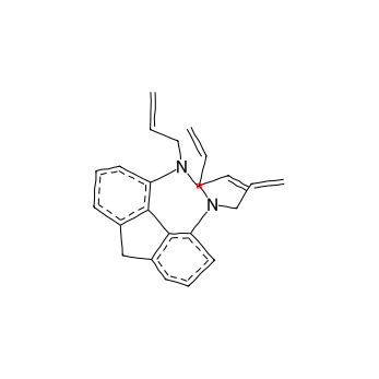 C=CCN(CC=C)c1cccc2c1-c1c(cccc1N(CC=C)CC=C)C2